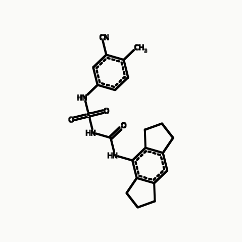 Cc1ccc(NS(=O)(=O)NC(=O)Nc2c3c(cc4c2CCC4)CCC3)cc1C#N